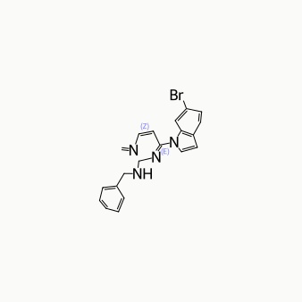 C=N/C=C\C(=N/CNCc1ccccc1)n1ccc2ccc(Br)cc21